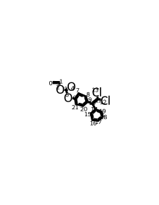 C=COC(=O)Oc1ccc(C(=C(Cl)Cl)c2ccccc2)cc1